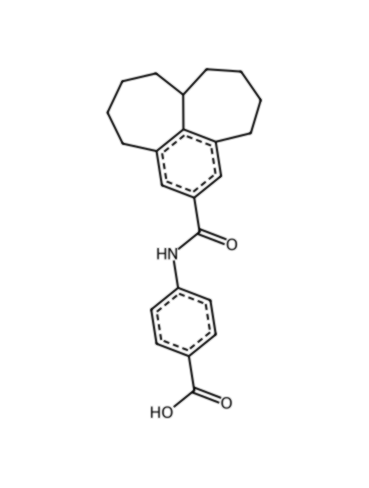 O=C(O)c1ccc(NC(=O)c2cc3c4c(c2)CCCCC4CCCC3)cc1